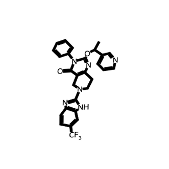 CC(Oc1nc2c(c(=O)n1-c1ccccc1)CN(c1nc3ccc(C(F)(F)F)cc3[nH]1)CC2)c1cccnc1